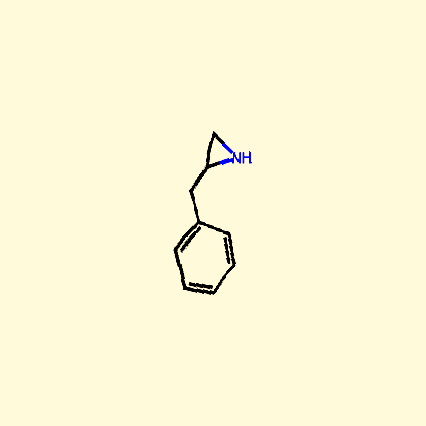 c1ccc(CC2CN2)cc1